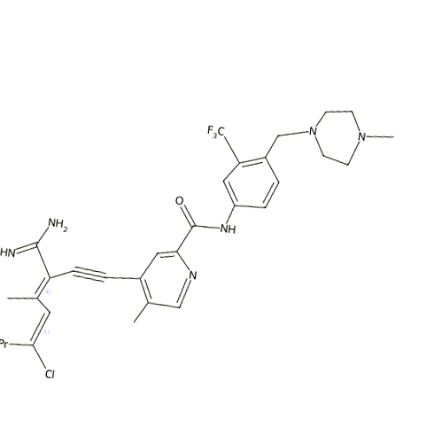 CC(/C=C(/Cl)C(C)C)=C(/C#Cc1cc(C(=O)Nc2ccc(CN3CCN(C)CC3)c(C(F)(F)F)c2)ncc1C)C(=N)N